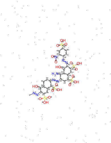 CN=Nc1c(S(=O)(=O)O)cc2c(S(=O)(=O)O)c(N=Nc3cc(S(=O)(=O)O)c4cc(S(=O)(=O)O)c(N=Nc5ccc(S(=O)(=O)O)cc5[N+](=O)[O-])c(O)c4c3N)ccc2c1O